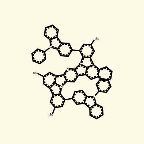 CC(C)(C)c1cc(-c2ccc3c(c2)c2ccccc2n3-c2ccccc2)c2c(c1)c1cc(C(C)(C)C)cc3c4nc5c(cc4n2c13)c1cc2ccccc2c2c3cc(C(C)(C)C)cc(-c4ccc6c(c4)c4ccccc4n6-c4ccccc4)c3n5c12